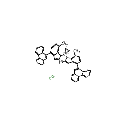 CCC1=Cc2c(-c3cc4ccccc4c4ccccc34)ccc(C)c2[CH]1[Zr+2]1([CH]2C(CC)=Cc3c(-c4cc5ccccc5c5ccccc45)ccc(C)c32)[CH2][CH2]1.[Cl-].[Cl-]